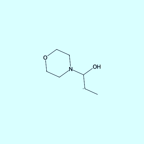 C[CH]C(O)N1CCOCC1